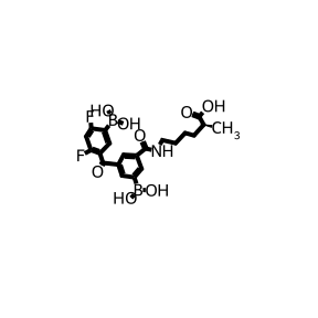 C[C@@H](CCCCNC(=O)c1cc(B(O)O)cc(C(=O)c2cc(B(O)O)c(F)cc2F)c1)C(=O)O